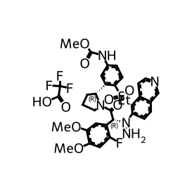 CCS(=O)(=O)c1ccc(NC(=O)OC)cc1[C@H]1CCCN1C(=O)[C@@H](c1cc(OC)c(OC)cc1F)N(N)c1ccc2cnccc2c1.O=C(O)C(F)(F)F